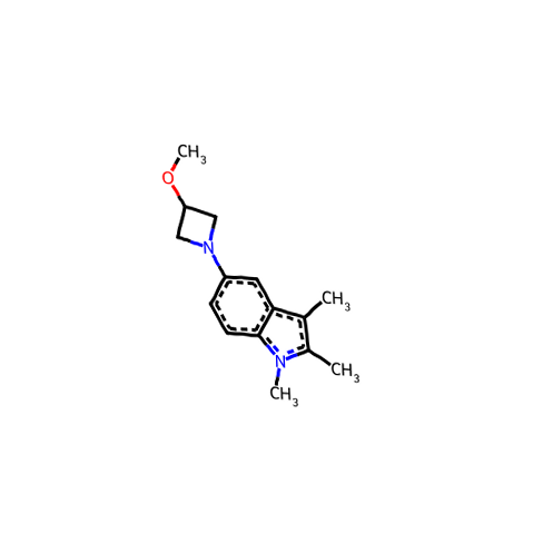 COC1CN(c2ccc3c(c2)c(C)c(C)n3C)C1